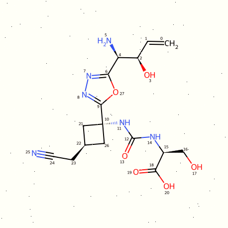 C=C[C@@H](O)[C@H](N)c1nnc([C@]2(NC(=O)N[C@@H](CO)C(=O)O)C[C@H](CC#N)C2)o1